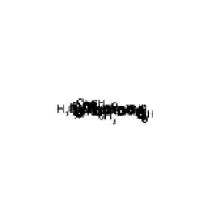 COc1cc(N2CCN(C(=O)CN3CCC(c4ccc(NC5CCC(=O)NC5=O)cc4)CC3)CC2)c(C)cc1Nc1ncc(Cl)c(Nc2ccccc2C(C)=O)n1